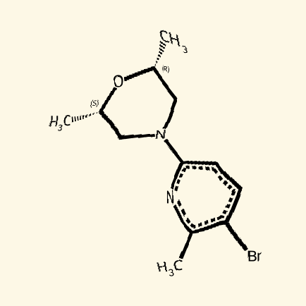 Cc1nc(N2C[C@@H](C)O[C@@H](C)C2)ccc1Br